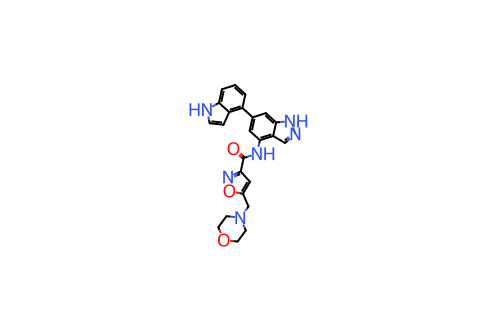 O=C(Nc1cc(-c2cccc3[nH]ccc23)cc2[nH]ncc12)c1cc(CN2CCOCC2)on1